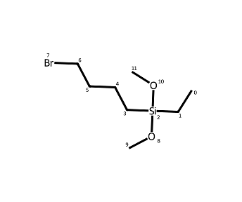 CC[Si](CCCCBr)(OC)OC